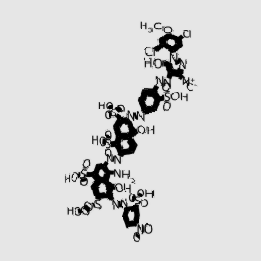 [C-]#[N+]c1nn(-c2cc(Cl)c(OC)cc2Cl)c(O)c1N=Nc1ccc(N=Nc2c(S(=O)(=O)O)cc3c(S(=O)(=O)O)c(N=Nc4cc(S(=O)(=O)O)c5cc(SOOO)c(N=Nc6ccc([N+](=O)[O-])cc6S(=O)(=O)O)c(O)c5c4N)ccc3c2O)cc1S(=O)(=O)O